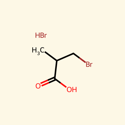 Br.CC(CBr)C(=O)O